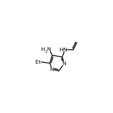 C=CNc1ncnc(CC)c1N